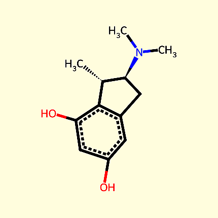 C[C@H]1c2c(O)cc(O)cc2C[C@@H]1N(C)C